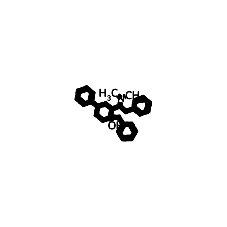 CN(C)C(Cc1ccccc1)C1CC(c2ccccc2)CCC1(O)Cc1ccccc1